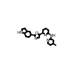 Cc1ccnc(Nc2cccc(-c3cnc(-c4ccc5[nH]ccc5c4)o3)n2)c1